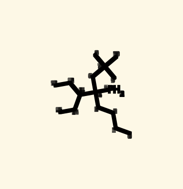 CCCCC(P)(CC(C)(C)C)C(CC)CC